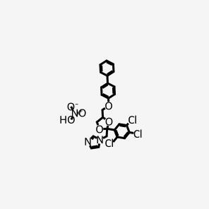 Clc1cc(Cl)c(C2(Cn3ccnc3)OCC(COc3ccc(-c4ccccc4)cc3)O2)cc1Cl.O=[N+]([O-])O